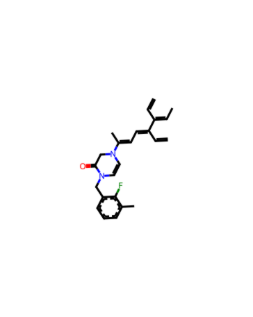 C=CC(=C\C)/C(C=C)=C/C=C(\C)N1C=CN(Cc2cccc(C)c2F)C(=O)C1